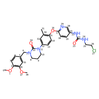 COc1ccc(CN2CCCN(c3ccc(Oc4ccc(NC(=O)NCCCl)cn4)c(C)c3)C2=O)cc1OC